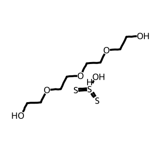 OCCOCCOCCOCCO.O[SH](=S)=S